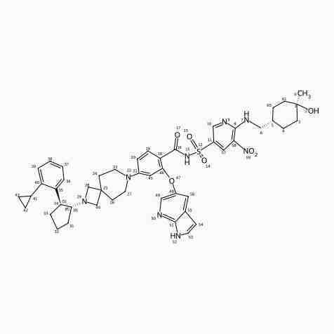 C[C@]1(O)CC[C@H](CNc2ncc(S(=O)(=O)NC(=O)c3ccc(N4CCC5(CC4)CN([C@@H]4CCC[C@H]4c4ccccc4C4CC4)C5)cc3Oc3cnc4[nH]ccc4c3)cc2[N+](=O)[O-])CC1